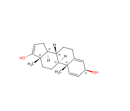 C[C@]12C=C[C@H](O)C=C1CC[C@@H]1[C@@H]2CC[C@]2(C)C(O)=CC[C@@H]12